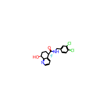 O=C(NCc1ccc(Cl)c(Cl)c1)[C@]1(F)CC[C@H](O)c2ncccc21